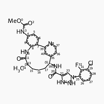 COC(=O)Nc1ccc2c(c1)NC(=O)[C@@H](C)CCC[C@H](NC(=O)C1=CN(c3cccc(Cl)c3F)NN1)c1ccnc-2c1